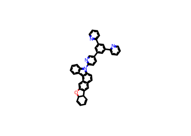 C1=CC2Oc3cc4c(ccc5c4c4ccccc4n5-c4ccc(-c5cc(-c6ccccn6)cc(-c6ccccn6)c5)cn4)cc3C2C=C1